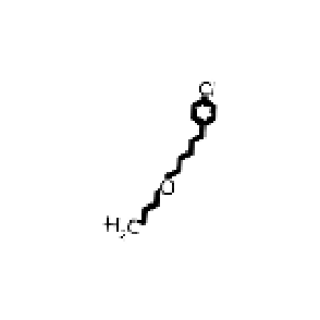 [CH2]CCCCOCCCCCCc1ccc(Cl)cc1